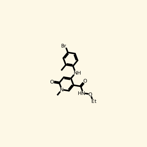 CCONC(=O)c1cn(C)c(=O)cc1Nc1ccc(Br)cc1C